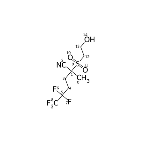 CC(C#N)(CCC(F)(F)C(F)(F)F)S(=O)(=O)CCO